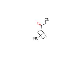 N#CCC(=O)C1CC2(C#N)CCC12